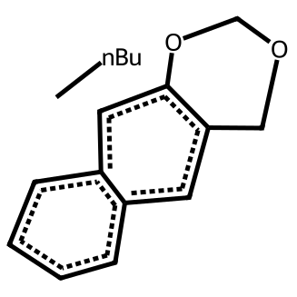 CCCCC.c1ccc2cc3c(cc2c1)COCO3